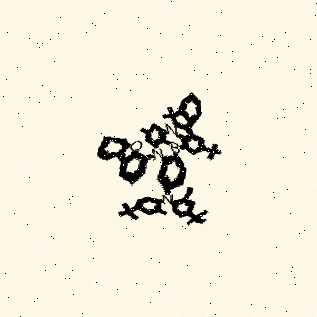 Cc1cc2c3c(c1)-n1c4c(c5cc(C(C)(C)C)cc(c51)B3c1ccc(N(c3ccc(C(C)(C)C)cc3C)c3ccc(C(C)(C)C)cc3C)cc1N2c1cccc2c1oc1ccccc12)-c1ccccc1C4(C)C